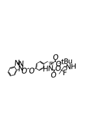 CC(C)(C)OC(=O)[C@@H](Cc1ccc(OCOn2nnc3ccccc32)cc1)NC(=O)OC(C)(F)C=N